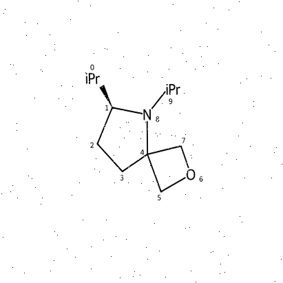 CC(C)[C@@H]1CCC2(COC2)N1C(C)C